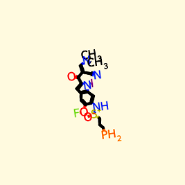 CN(C)/C=C(\C#N)C(=O)c1cc2cc(OF)c(N[S+]([O-])CCCP)cc2n1I